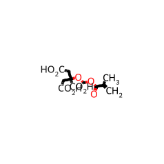 C=C(C)C(=O)OCOC(CC(=O)O)(CC(=O)O)C(=O)O